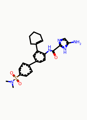 CN(C)S(=O)(=O)c1ccc(-c2ccc(NC(=O)c3ncc(N)[nH]3)c(C3=CCCCC3)c2)cc1